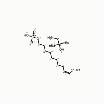 CCCCC(O)(CN)CCCC.CCCCCCCC/C=C\CCCCCCCCOP(=O)(O)O